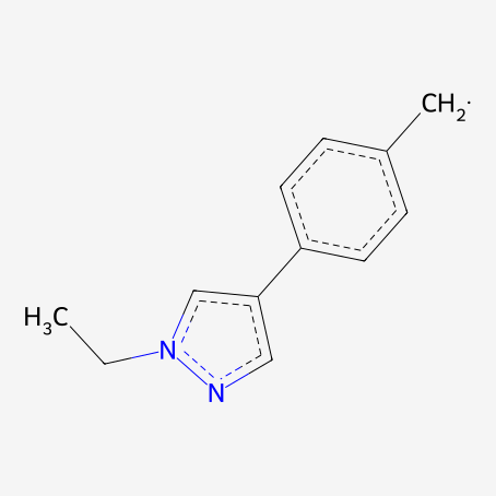 [CH2]c1ccc(-c2cnn(CC)c2)cc1